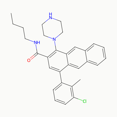 CCCCNC(=O)c1cc(-c2cccc(Cl)c2C)c2cc3ccccc3cc2c1N1CCNCC1